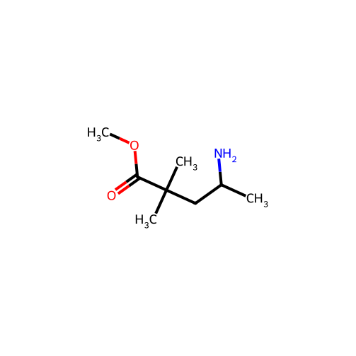 COC(=O)C(C)(C)CC(C)N